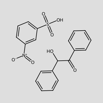 O=C(c1ccccc1)C(O)c1ccccc1.O=[N+]([O-])c1cccc(S(=O)(=O)O)c1